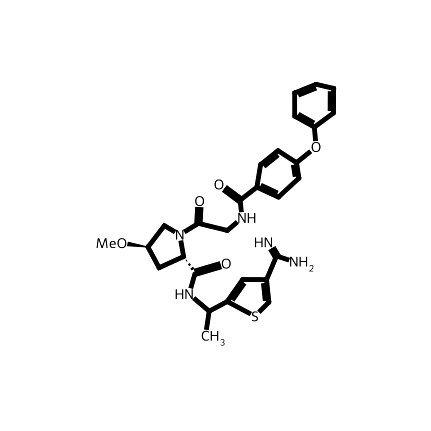 CO[C@@H]1C[C@@H](C(=O)NC(C)c2cc(C(=N)N)cs2)N(C(=O)CNC(=O)c2ccc(Oc3ccccc3)cc2)C1